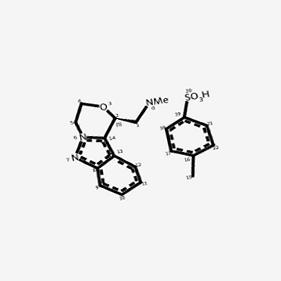 CNC[C@@H]1OCCn2nc3ccccc3c21.Cc1ccc(S(=O)(=O)O)cc1